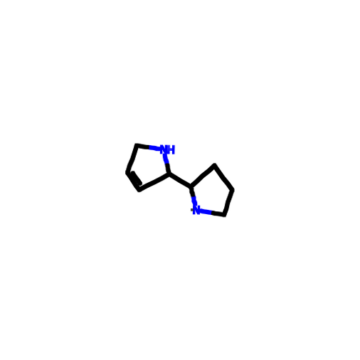 C1=CC(C2CCC[N]2)NC1